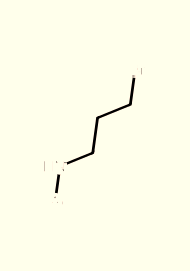 CC(=O)NCCCBr